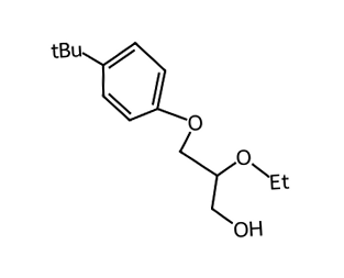 CCOC(CO)COc1ccc(C(C)(C)C)cc1